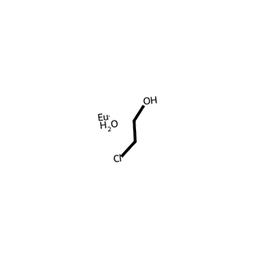 O.OCCCl.[Eu]